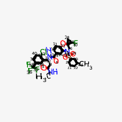 CNC(=O)C[C@H](NC(=O)c1ccc2c(c1)N(S(=O)(=O)c1cccc(C)c1)CC1(CC1F)O2)c1cc(C(F)(F)F)ccc1Cl